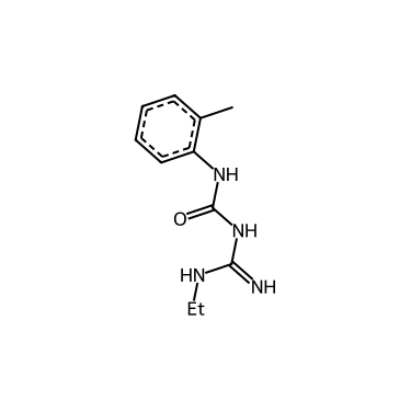 CCNC(=N)NC(=O)Nc1ccccc1C